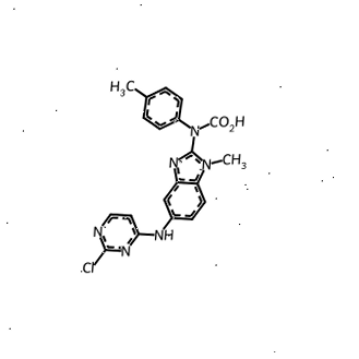 Cc1ccc(N(C(=O)O)c2nc3cc(Nc4ccnc(Cl)n4)ccc3n2C)cc1